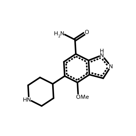 COc1c(C2CCNCC2)cc(C(N)=O)c2[nH]ncc12